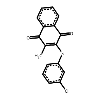 CC1=C(Sc2cccc(Cl)c2)C(=O)c2ccccc2C1=O